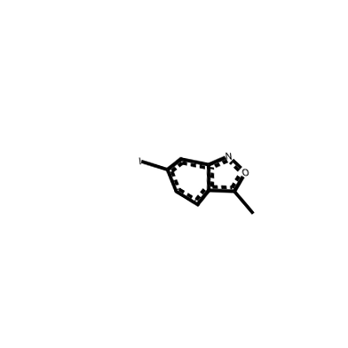 Cc1onc2cc(I)ccc12